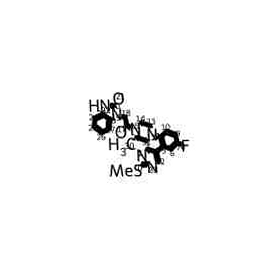 CSc1ncc(-c2cc(F)ccc2N2CCN(C(=O)Cn3c(=O)[nH]c4ccccc43)C(C)C2)cn1